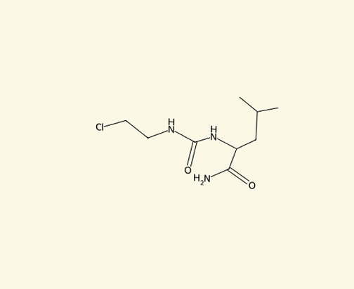 CC(C)CC(NC(=O)NCCCl)C(N)=O